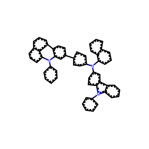 c1ccc(N2c3cc(-c4ccc(N(c5ccc6c(c5)c5ccccc5n6-c5ccccc5)c5cccc6ccccc56)cc4)ccc3-c3cccc4cccc2c34)cc1